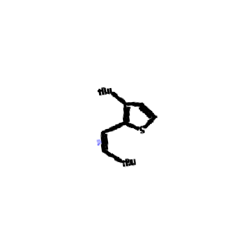 CC(C)(C)/C=C\c1sccc1C(C)(C)C